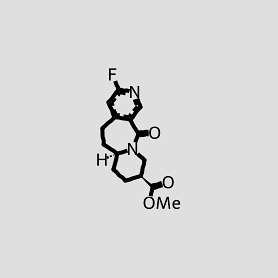 COC(=O)[C@H]1CC[C@H]2CCc3cc(F)ncc3C(=O)N2C1